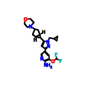 Nc1ncc(-c2cc(C3[C@H]4CC(N5CCOCC5)C[C@@H]34)n(CC3CC3)n2)cc1OC(F)F